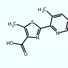 Cc1cccnc1-c1nc(C(=O)O)c(C)s1